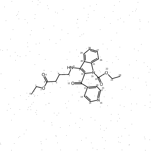 CCOC(=O)CCCNc1c(C(=O)c2ccncc2)n(C(=O)OCC)c2ccccc12